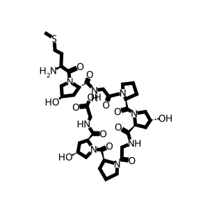 CSCC[C@H](N)C(=O)N1C[C@H](O)C[C@H]1C(=O)NCC(=O)N1CCC[C@H]1C(=O)N1C[C@H](O)C[C@H]1C(=O)NCC(=O)N1CCC[C@H]1C(=O)N1C[C@H](O)C[C@H]1C(=O)NCC(=O)O